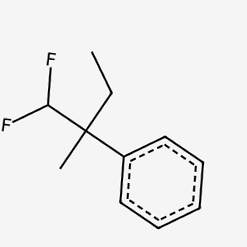 CCC(C)(c1ccccc1)C(F)F